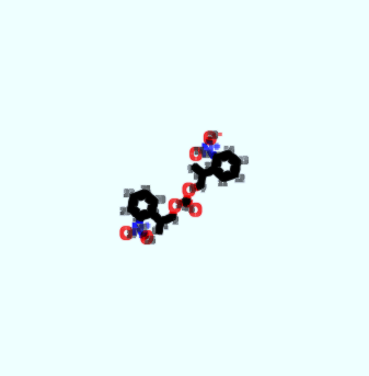 CC(COC(=O)OCC(C)c1ccccc1[N+](=O)[O-])c1ccccc1[N+](=O)[O-]